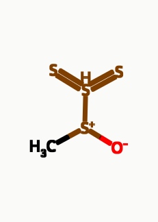 C[S+]([O-])[SH](=S)=S